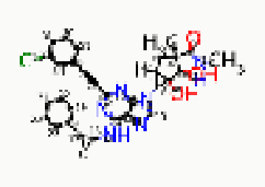 CNC(=O)C1(C)C[C@H]2[C@@H](n3cnc4c(NC5CC5c5ccccc5)nc(C#Cc5cccc(Cl)c5)nc43)[C@@]2(O)[C@@H]1O